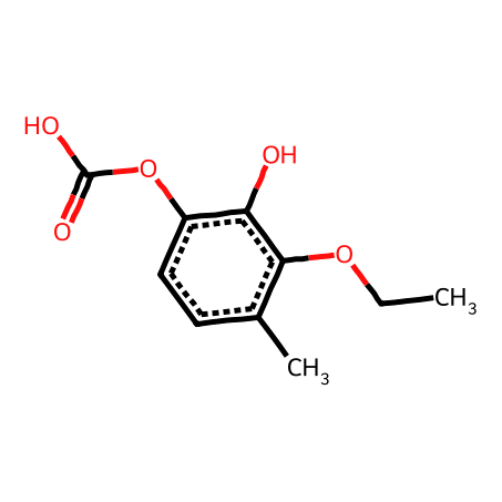 CCOc1c(C)ccc(OC(=O)O)c1O